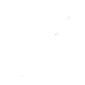 CC(NC(=O)C1(c2cccc(Cl)c2)CC1)C(=O)O